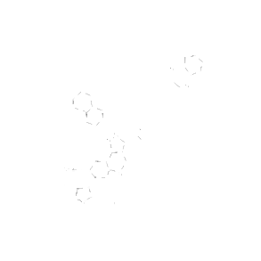 COc1cc2c(cc1-c1c(C)noc1C)ncc1c(C(=O)NCCCCCC(=O)Nc3ccccc3N)nn(Cc3ccc4ccccc4c3)c12